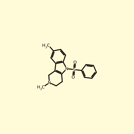 Cc1ccc2c(c1)c1c(n2S(=O)(=O)c2ccccc2)CCN(C)C1